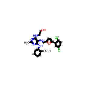 Cc1nc(NCCO)c(NCc2ccc(-c3cc(Cl)ccc3Cl)o2)c(Nc2ccccc2C(=O)O)n1